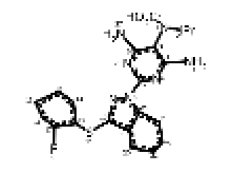 CC(C)N(C(=O)O)c1c(N)nc(-n2nc(Sc3ccccc3F)c3ccccc32)nc1N